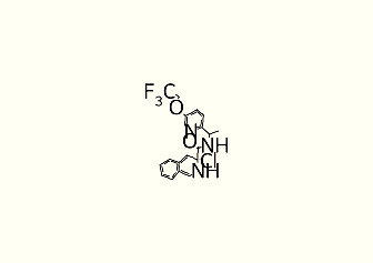 CC(NC(=O)[C@]1(Cl)C=c2ccccc2=CN1)c1ccc(OCC(F)(F)F)cn1